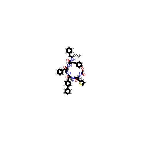 O=C1COc2ccc(cc2)C[C@@H](C(=O)N[C@H](Cc2ccccc2)C(=O)O)NC(=O)[C@H](Cc2ccccc2)NC(=O)[C@@H](Cc2ccc(-c3ccccc3)cc2)NC(=O)[C@H](Cc2cccs2)N1